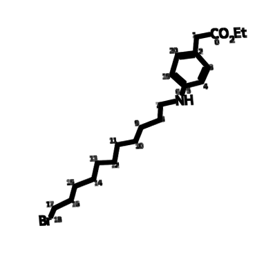 CCOC(=O)Cc1ccc(NCCCCCCCCCCCBr)cc1